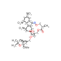 CO[Si](CCCOCC(O)COC(=O)C(C)CON=C1c2cc([N+](=O)[O-])cc([N+](=O)[O-])c2-c2c1cc([N+](=O)[O-])cc2[N+](=O)[O-])(OC)O[Si](C)(C)C